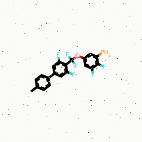 Cc1ccc(-c2cc(F)c(C(F)(F)Oc3cc(F)c(F)c(P)c3)c(F)c2)cc1